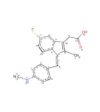 CNc1ccc(/C=C2/C(C)=C(CC(=O)O)c3cc(F)ccc32)cc1